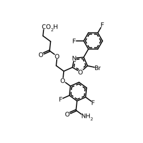 NC(=O)c1c(F)ccc(OC(COC(=O)CCC(=O)O)c2nc(-c3ccc(F)cc3F)c(Br)o2)c1F